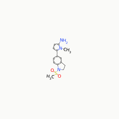 Cn1c(N)ccc1-c1ccc2c(c1)CCN2S(C)(=O)=O